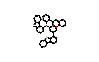 c1cc(-c2cccc3c2sc2ccccc23)cc(N(c2ccccc2-c2ccc3ccccc3c2)c2cccc3oc4ccccc4c23)c1